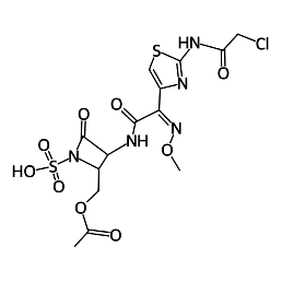 CON=C(C(=O)NC1C(=O)N(S(=O)(=O)O)C1COC(C)=O)c1csc(NC(=O)CCl)n1